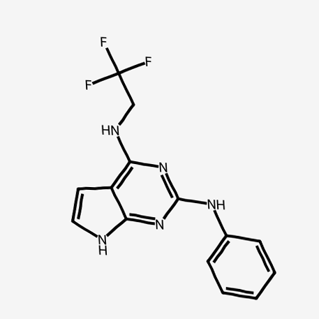 FC(F)(F)CNc1nc(Nc2ccccc2)nc2[nH]ccc12